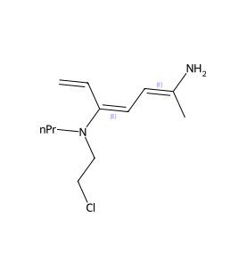 C=C/C(=C\C=C(/C)N)N(CCC)CCCl